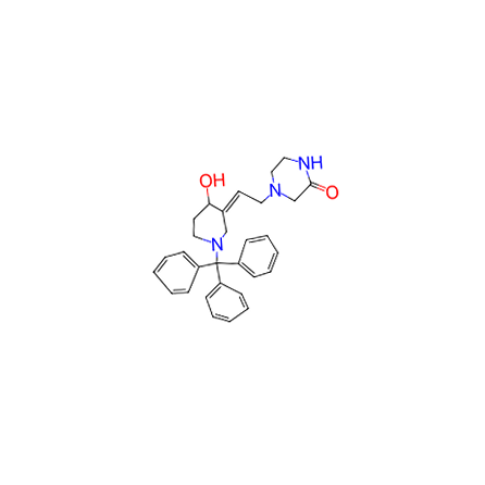 O=C1CN(C/C=C2\CN(C(c3ccccc3)(c3ccccc3)c3ccccc3)CCC2O)CCN1